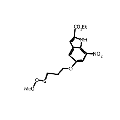 CCOC(=O)c1cc2cc(OCCCSOOC)cc([N+](=O)[O-])c2[nH]1